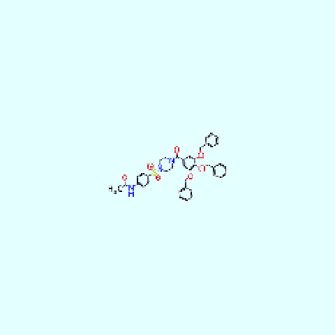 CC(=O)Nc1ccc(S(=O)(=O)N2CCN(C(=O)c3cc(OCc4ccccc4)c(OCc4ccccc4)c(OCc4ccccc4)c3)CC2)cc1